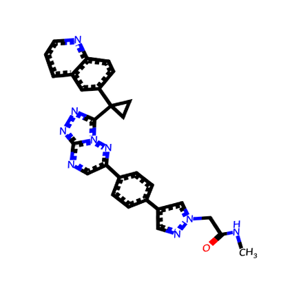 CNC(=O)Cn1cc(-c2ccc(-c3cnc4nnc(C5(c6ccc7ncccc7c6)CC5)n4n3)cc2)cn1